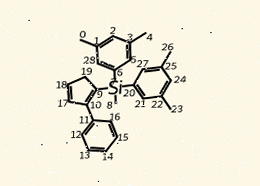 Cc1cc(C)cc([Si](C)(C2=C(c3ccccc3)C=CC2)c2cc(C)cc(C)c2)c1